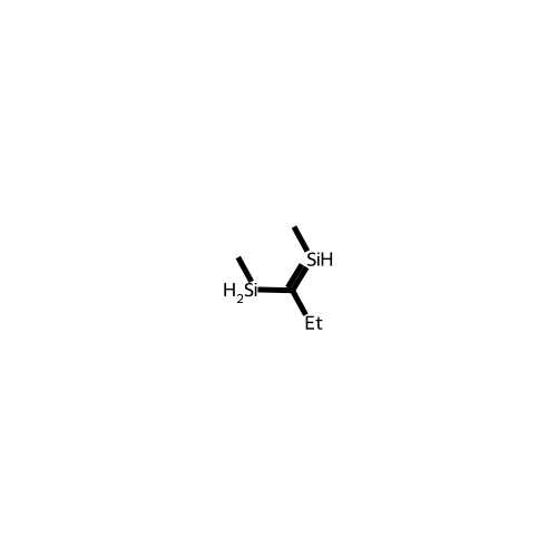 CCC(=[SiH]C)[SiH2]C